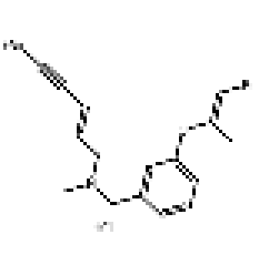 CC/C=C(\C)Oc1cccc(CN(C)C/C=C/C#CC(C)(C)C)c1.Cl